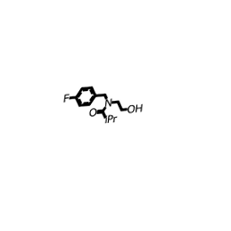 CC(C)C(=O)N(CCO)Cc1ccc(F)cc1